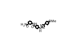 COc1ccc(-c2cnc(Nc3ccc(C(=O)Nc4cccc(C(N)=O)c4)cc3)nc2)cc1